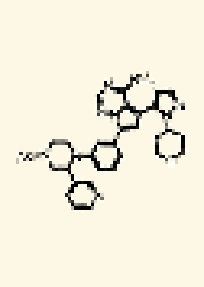 CC(=O)N1CCN(c2cccc(-c3cc(-c4ccnn4C4CCOCC4)c4c(N)ncnn34)c2)C(c2cccnc2)C1